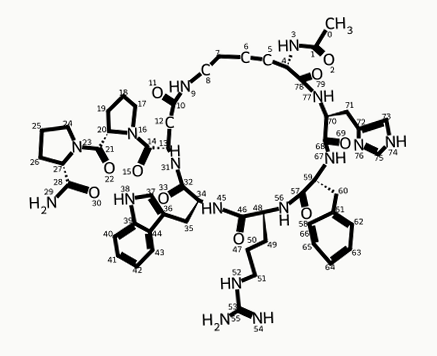 CC(=O)N[C@H]1CCCCNC(=O)C[C@@H](C(=O)N2CCC[C@H]2C(=O)N2CCC[C@H]2C(N)=O)NC(=O)[C@H](Cc2c[nH]c3ccccc23)NC(=O)[C@H](CCCNC(=N)N)NC(=O)[C@@H](Cc2ccccc2)NC(=O)[C@H](Cc2c[nH]cn2)NC1=O